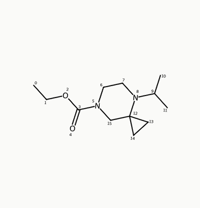 CCOC(=O)N1CCN(C(C)C)C2(CC2)C1